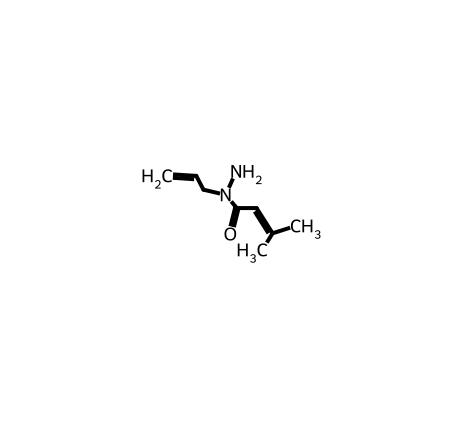 C=CCN(N)C(=O)C=C(C)C